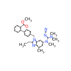 CCc1nc2c(C)cc(N(C)C(=NC#N)N(C)C)cc2n1Cc1ccc(-c2ccccc2C(=O)OC)cc1